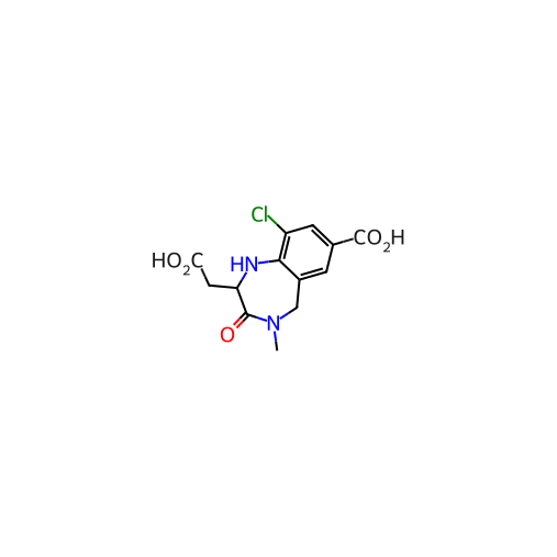 CN1Cc2cc(C(=O)O)cc(Cl)c2NC(CC(=O)O)C1=O